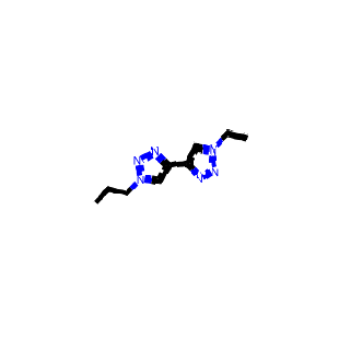 CCCn1cc(-c2cn(CC)nn2)nn1